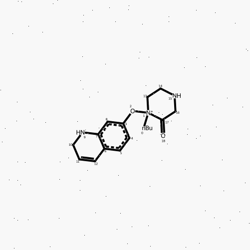 CCCC[N+]1(Oc2ccc3c(c2)NCC=C3)CCNCC1=O